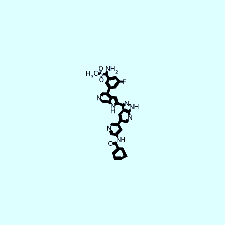 CS(=O)(=O)C(N)c1cc(F)cc(-c2cncc3[nH]c(-c4n[nH]c5ncc(-c6cncc(NC(=O)c7ccccc7)c6)cc45)cc23)c1